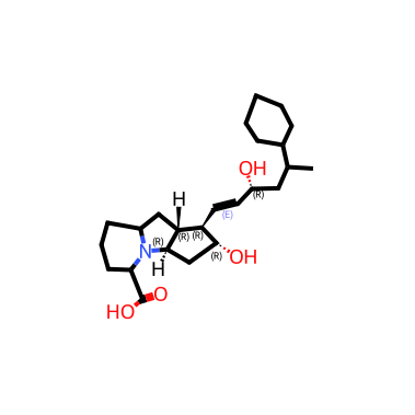 CC(C[C@@H](O)/C=C/[C@@H]1[C@H]2CC3CCCC(C(=O)O)N3[C@@H]2C[C@H]1O)C1CCCCC1